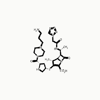 C[C@H]1C(S[C@@H]2CN[C@H](C(=O)N3CCN(CCCN)CC3)C2)=C(C(=O)O)N2C(=O)[C@H]([C@@H](C)NC(=O)Cn3cnnn3)C12